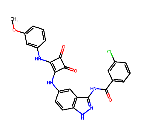 COc1cccc(Nc2c(Nc3ccc4[nH]nc(NC(=O)c5cccc(Cl)c5)c4c3)c(=O)c2=O)c1